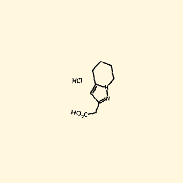 Cl.O=C(O)Cc1cc2n(n1)CCCC2